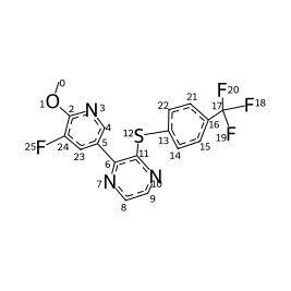 COc1ncc(-c2nccnc2Sc2ccc(C(F)(F)F)cc2)cc1F